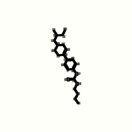 CCCCOC(=O)Oc1ccc(C2=CCC(CC(C)CC)CC2)cc1